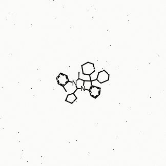 Cc1ccccc1N1C(C2CCCC2)N2c3ccccc3C(C3CCCCC3)(C3CCCCC3)C2[C@@H]1C